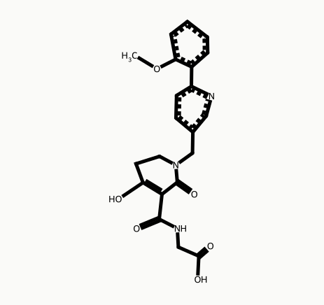 COc1ccccc1-c1ccc(CN2CCC(O)=C(C(=O)NCC(=O)O)C2=O)cn1